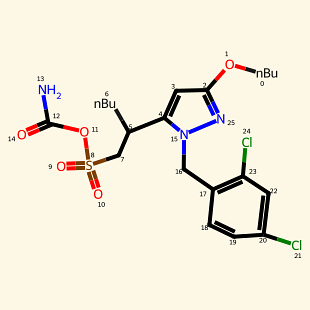 CCCCOc1cc(C(CCCC)CS(=O)(=O)OC(N)=O)n(Cc2ccc(Cl)cc2Cl)n1